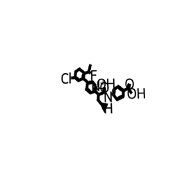 CC(F)C1=C(c2ccc(C(CC3CC3)C(=O)Nc3ccc(C(=O)O)cc3)[n+](O)c2)C=C(Cl)CC1